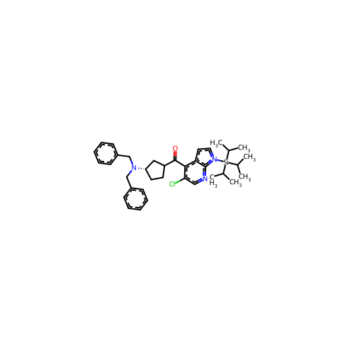 CC(C)[Si](C(C)C)(C(C)C)n1ccc2c(C(=O)C3CC[C@H](N(Cc4ccccc4)Cc4ccccc4)C3)c(Cl)cnc21